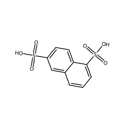 O=S(=O)(O)c1ccc2c(S(=O)(=O)O)cc[c]c2c1